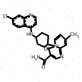 CC1=CC2=NC=C(C(N)=O)C(=O)[N+]2(C2CCC(Nc3ccnc4cc(Cl)ccc34)CC2)C=C1